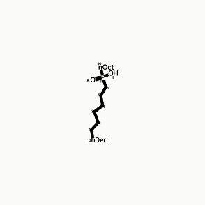 CCCCCCCCCCCCCCCCP(=O)(O)CCCCCCCC